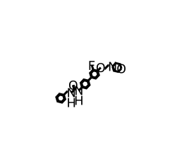 O=C(NCc1ccccc1)Nc1ccc(-c2ccc(OCCN3CCOCC3)c(F)c2)cc1